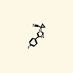 N#CC1(n2cnc(-c3ccc(F)cc3)c2)CC1